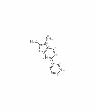 Cc1sc2nc(-c3cccnc3)ccc2c1N